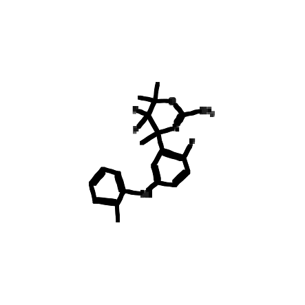 Cc1ccccc1Nc1ccc(F)c(C2(C)N=C(N)OC(C)(C)C2(F)F)c1